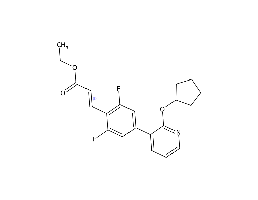 CCOC(=O)/C=C/c1c(F)cc(-c2cccnc2OC2CCCC2)cc1F